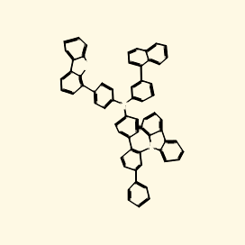 c1ccc(-c2ccc(-c3ccc(N(c4ccc(-c5cccc6c5oc5ccccc56)cc4)c4cccc(-c5cccc6ccccc56)c4)cc3)c(-n3c4ccccc4c4ccccc43)c2)cc1